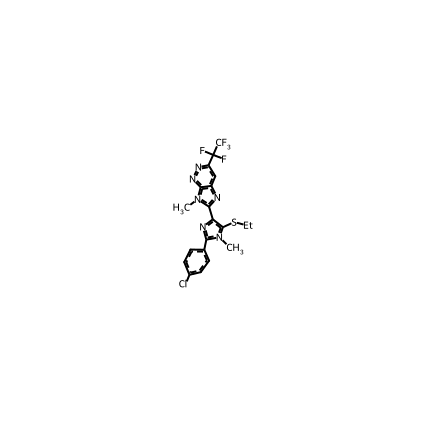 CCSc1c(-c2nc3cc(C(F)(F)C(F)(F)F)nnc3n2C)nc(-c2ccc(Cl)cc2)n1C